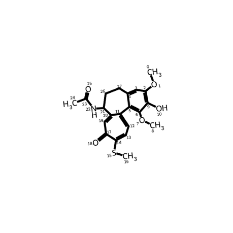 COc1cc2c(c(OC)c1O)-c1ccc(SC)c(=O)cc1C(NC(C)=O)CC2